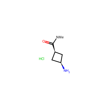 CNC(=O)[C@H]1C[C@@H](N)C1.Cl